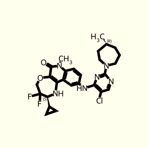 C[C@@H]1CCCN(c2ncc(Cl)c(Nc3ccc4c(c3)c3c(c(=O)n4C)OCC(F)(F)[C@H](C4CC4)N3)n2)CC1